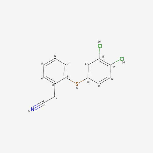 N#CCc1ccccc1Sc1ccc(Cl)c(Cl)c1